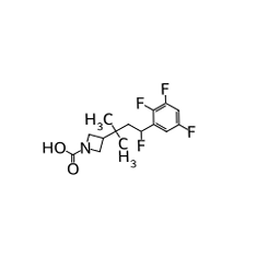 CC(C)(CC(F)c1cc(F)cc(F)c1F)C1CN(C(=O)O)C1